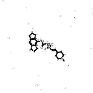 CN1CCC(/C=C/S(=O)(=O)NC(=O)Nc2c3c(cc4c2CCC4)CCC3)CC1